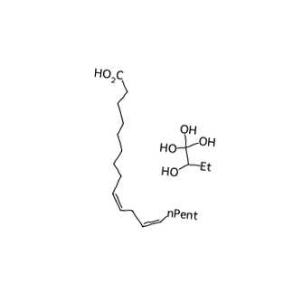 CCC(O)C(O)(O)O.CCCCC/C=C\C/C=C\CCCCCCCC(=O)O